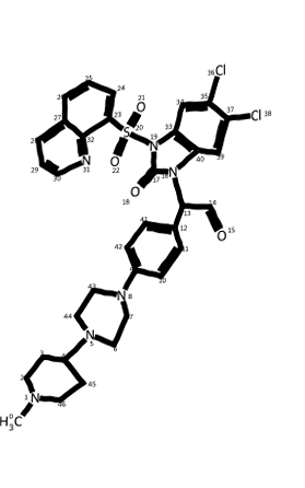 CN1CCC(N2CCN(c3ccc(C(C=O)n4c(=O)n(S(=O)(=O)c5cccc6cccnc56)c5cc(Cl)c(Cl)cc54)cc3)CC2)CC1